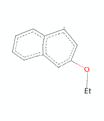 CCOc1c[c]c2ccccc2c1